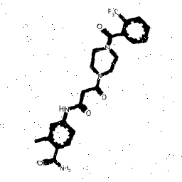 Cc1cc(NC(=O)CC(=O)N2CCN(C(=O)c3ccccc3C(F)(F)F)CC2)ccc1C(N)=O